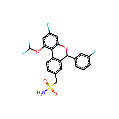 NS(=O)(=O)Cc1ccc2c(c1)C(c1cccc(F)c1)Oc1cc(F)cc(OC(F)F)c1-2